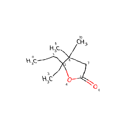 CCC1(C)OC(=O)CC1(C)C